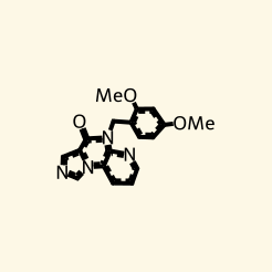 COc1ccc(Cn2c(=O)c3cncn3c3cccnc32)c(OC)c1